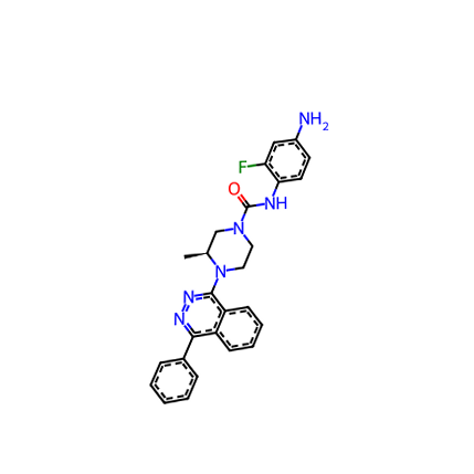 C[C@H]1CN(C(=O)Nc2ccc(N)cc2F)CCN1c1nnc(-c2ccccc2)c2ccccc12